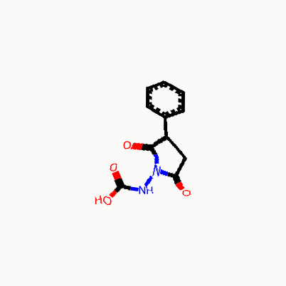 O=C(O)NN1C(=O)CC(c2ccccc2)C1=O